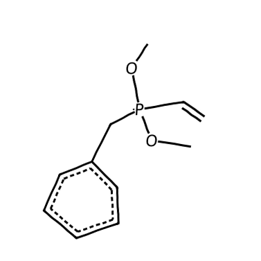 C=C[P](Cc1ccccc1)(OC)OC